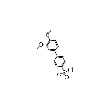 COc1ccc(-c2ccc(S(=O)(=O)Cl)cc2)cc1OC